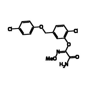 CON=C(Oc1cc(COc2ccc(Cl)cc2)ccc1Cl)C(N)=O